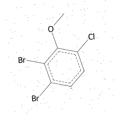 COc1c(Cl)c[c]c(Br)c1Br